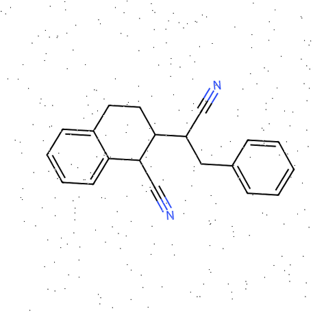 N#CC(Cc1ccccc1)C1CCc2ccccc2C1C#N